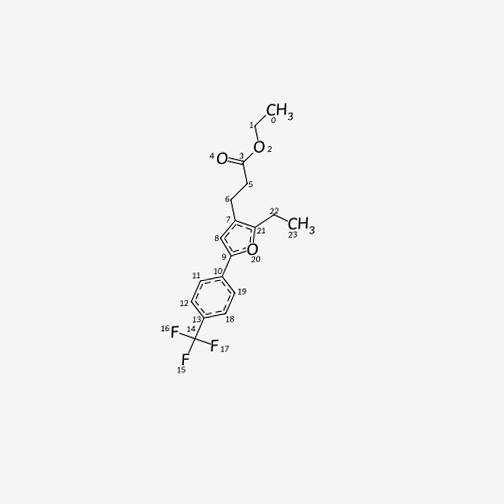 CCOC(=O)CCc1cc(-c2ccc(C(F)(F)F)cc2)oc1CC